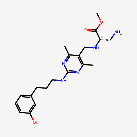 COC(=O)[C@H](CN)NCc1c(C)nc(NCCCc2cccc(O)c2)nc1C